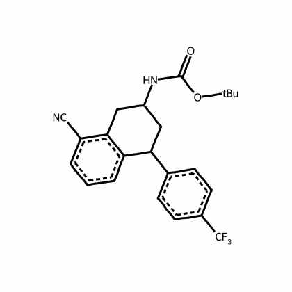 CC(C)(C)OC(=O)NC1Cc2c(C#N)cccc2C(c2ccc(C(F)(F)F)cc2)C1